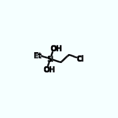 CC[Si](O)(O)CCCl